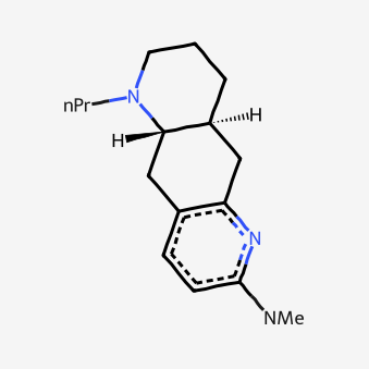 CCCN1CCC[C@H]2Cc3nc(NC)ccc3C[C@@H]21